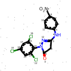 O=C1CC(Nc2ccc([N+](=O)[O-])cc2)=NN1c1c(Cl)cc(Cl)cc1Cl